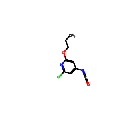 CCCOc1cc(N=C=O)cc(Cl)n1